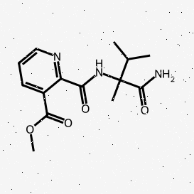 COC(=O)c1cccnc1C(=O)NC(C)(C(N)=O)C(C)C